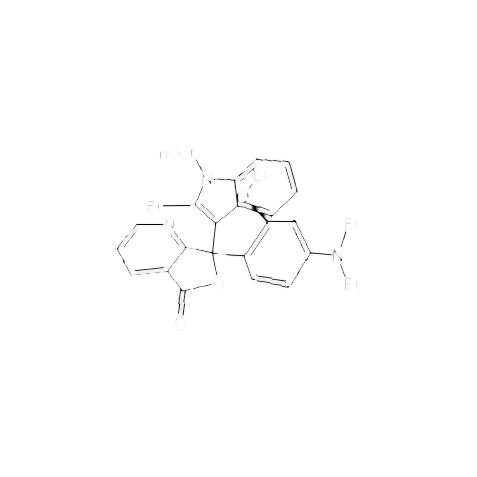 CCCCCCCCn1c(CC)c(C2(c3ccc(N(CC)CC)cc3OCC)OC(=O)c3cccnc32)c2ccccc21